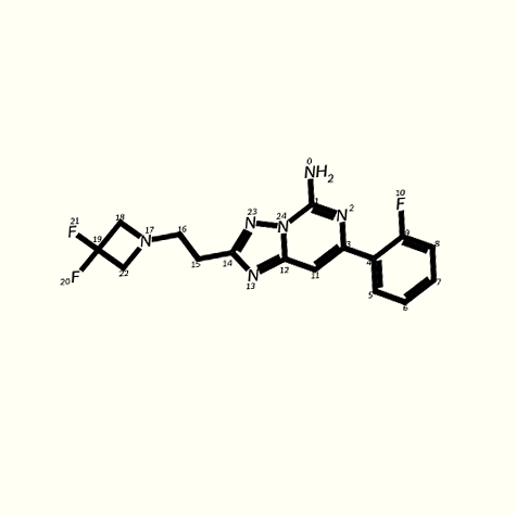 Nc1nc(-c2ccccc2F)cc2nc(CCN3CC(F)(F)C3)nn12